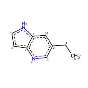 [CH2]Cc1cnc2cc[nH]c2c1